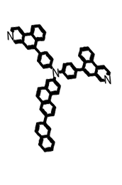 c1ccc2cc(-c3ccc4c(ccc5cc(N(c6ccc(-c7cc8cnccc8c8ccccc78)cc6)c6ccc(-c7cc8cnccc8c8ccccc78)cc6)ccc54)c3)ccc2c1